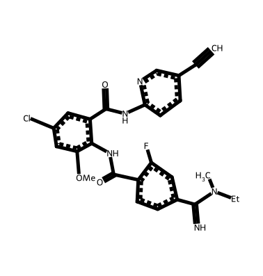 C#Cc1ccc(NC(=O)c2cc(Cl)cc(OC)c2NC(=O)c2ccc(C(=N)N(C)CC)cc2F)nc1